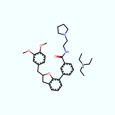 CC[SiH](CC)CC.COc1ccc(CC2Cc3cccc(-c4cccc(C(=O)NCCN5CCCC5)c4)c3O2)cc1OC